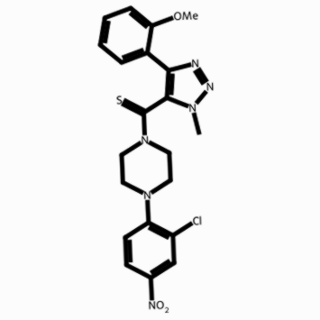 COc1ccccc1-c1nnn(C)c1C(=S)N1CCN(c2ccc([N+](=O)[O-])cc2Cl)CC1